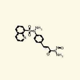 NN(N=O)C(=O)/C=C/c1ccc(N(N)S(=O)(=O)c2cccc3cccnc23)cc1